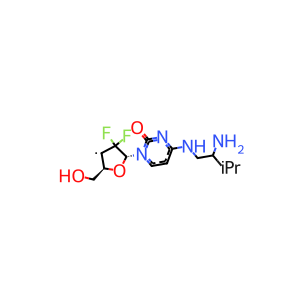 CC(C)C(N)CNc1ccn([C@@H]2O[C@@H](CO)[CH]C2(F)F)c(=O)n1